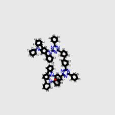 C1=CC2c3ccc4c5ccccc5n(-c5cccc(-c6nc(-c7ccccc7)nc(-c7ccc(-c8cccc(-c9nc(-c%10ccccc%10)nc(-n%10c%11ccccc%11c%11cc%12c(cc%11%10)c%10ccccc%10n%12-c%10ccccc%10)n9)c8)cc7)n6)c5)c4c3N(c3ccccc3)C2C=C1